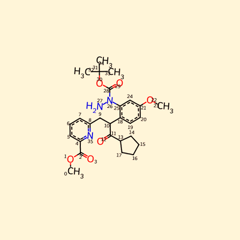 COC(=O)c1cccc(CC(C(=O)C2CCCC2)c2ccc(OC)cc2N(N)C(=O)OC(C)(C)C)n1